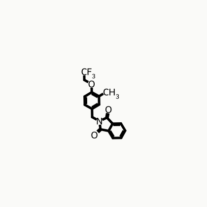 Cc1cc(CN2C(=O)c3ccccc3C2=O)ccc1OCC(F)(F)F